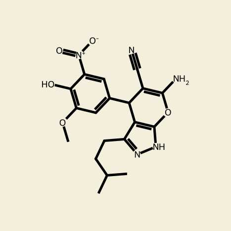 COc1cc(C2C(C#N)=C(N)Oc3[nH]nc(CCC(C)C)c32)cc([N+](=O)[O-])c1O